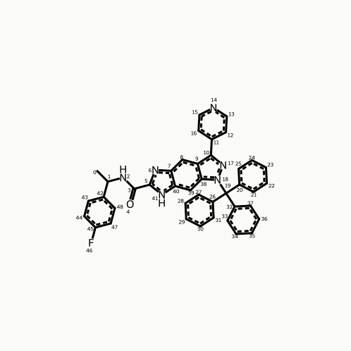 CC(NC(=O)c1nc2cc3c(-c4ccncc4)nn(C(c4ccccc4)(c4ccccc4)c4ccccc4)c3cc2[nH]1)c1ccc(F)cc1